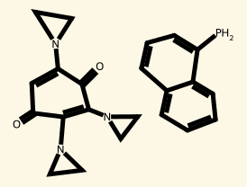 O=C1C=C(N2CC2)C(=O)C(N2CC2)=C1N1CC1.Pc1cccc2ccccc12